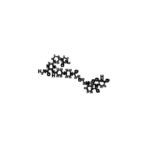 CN1CCN([C@@H]2CCCN(c3cnc(C(N)=O)c(Nc4ccc(N5CCN(C(=O)CCOCCNc6cccc7c6C(=O)N(C6CCC(=O)NC6=O)C7=O)CC5)cc4)n3)C2)C1=O